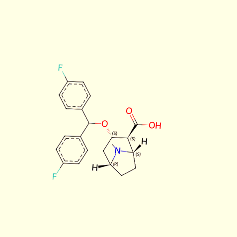 CN1[C@@H]2CC[C@H]1[C@H](C(=O)O)[C@@H](OC(c1ccc(F)cc1)c1ccc(F)cc1)C2